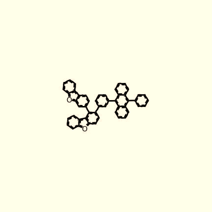 c1ccc(-c2c3ccccc3c(-c3cccc(-c4ccc5oc6ccccc6c5c4-c4ccc5c(c4)oc4ccccc45)c3)c3ccccc23)cc1